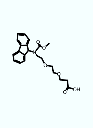 COC(=O)N(CCOCCOCCC(=O)O)C1c2ccccc2-c2ccccc21